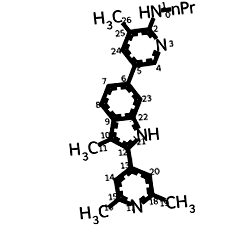 CCCNc1ncc(-c2ccc3c(C)c(-c4cc(C)nc(C)c4)[nH]c3c2)cc1C